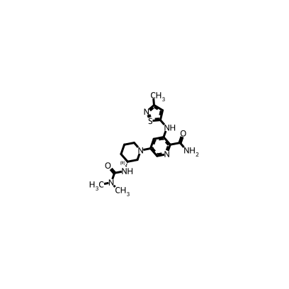 Cc1cc(Nc2cc(N3CCC[C@@H](NC(=O)N(C)C)C3)cnc2C(N)=O)sn1